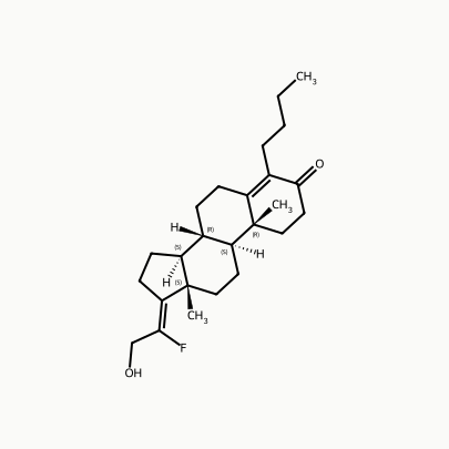 CCCCC1=C2CC[C@@H]3[C@H](CC[C@]4(C)C(=C(F)CO)CC[C@@H]34)[C@@]2(C)CCC1=O